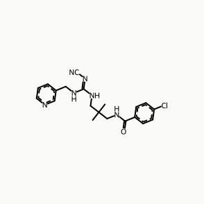 CC(C)(CNC(=O)c1ccc(Cl)cc1)CNC(=NC#N)NCc1cccnc1